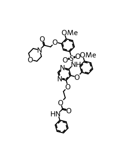 COc1cccc(Oc2c(NS(=O)(=O)c3ccc(OC)c(OCC(=O)N4CCOCC4)c3)ncnc2OCCOC(=O)Nc2ccccc2)c1